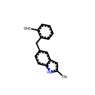 N#Cc1cc2cc(Cc3ccccc3C=O)ccc2[nH]1